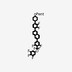 CCCCCC1CCC(c2ccc(-c3ccc4cc(-c5cc(F)c(C(F)(F)Oc6cc(F)c(F)c(F)c6)c(F)c5)ccc4c3)c(F)c2F)CC1